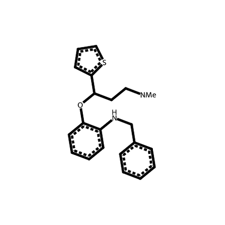 CNCCC(Oc1ccccc1NCc1ccccc1)c1cccs1